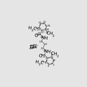 Cc1cccc(C)c1C(=O)NCCCNC(=O)c1c(C)cccc1C.[Cl-].[Cl-].[Ti+2]